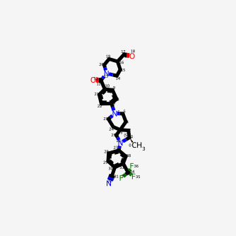 C[C@H]1CC2(CCN(c3ccc(C(=O)N4CCC(C=O)CC4)cc3)CC2)CN1c1ccc(C#N)c(C(F)(F)F)c1